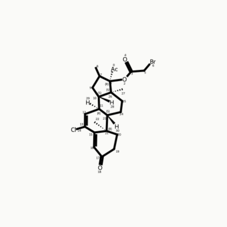 CC(=O)[C@@]1(OC(=O)CBr)C(C)C[C@H]2[C@@H]3C=C(Cl)C4=CC(=O)CC[C@]4(C)[C@H]3CC[C@@]21C